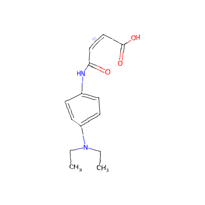 CCN(CC)c1ccc(NC(=O)/C=C\C(=O)O)cc1